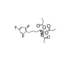 CCC(=O)O[Si](CCCCc1c(F)cc(F)cc1F)(OC(=O)CC)OC(=O)CC